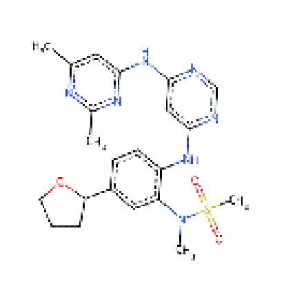 Cc1cc(Nc2cc(Nc3ccc(C4CCCO4)cc3N(C)S(C)(=O)=O)ncn2)nc(C)n1